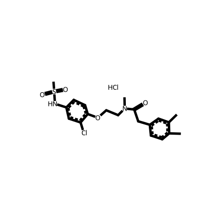 Cc1ccc(CC(=O)N(C)CCOc2ccc(NS(C)(=O)=O)cc2Cl)cc1C.Cl